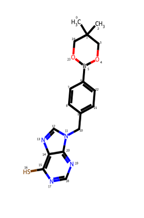 CC1(C)COB(c2ccc(Cn3cnc4c(S)ncnc43)cc2)OC1